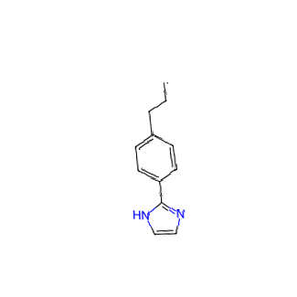 [CH2]CCc1ccc(-c2ncc[nH]2)cc1